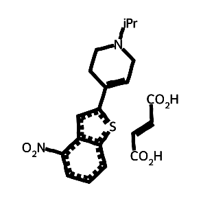 CC(C)N1CC=C(c2cc3c([N+](=O)[O-])cccc3s2)CC1.O=C(O)C=CC(=O)O